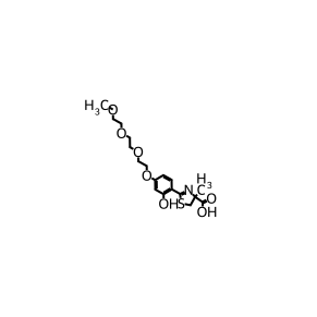 COCCOCCOCCOc1ccc(C2=NC(C)(C(=O)O)CS2)c(O)c1